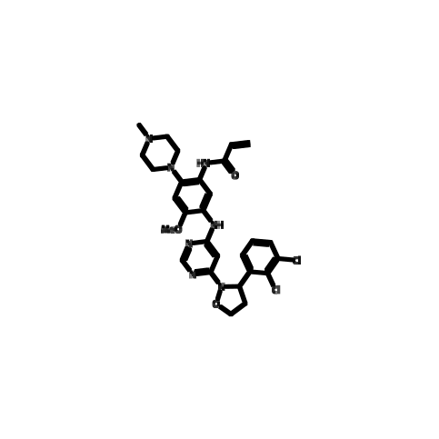 C=CC(=O)Nc1cc(Nc2cc(N3OCCC3c3cccc(Cl)c3Cl)ncn2)c(OC)cc1N1CCN(C)CC1